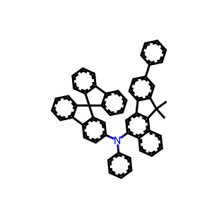 CC1(C)c2cc(-c3ccccc3)ccc2-c2cc(N(c3ccccc3)c3ccc4c(c3)C3(c5ccccc5-c5ccccc53)c3ccccc3-4)c3ccccc3c21